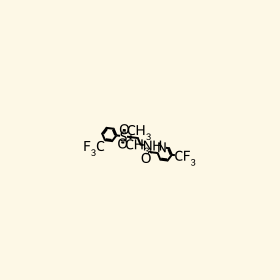 CC(C)(CCNC(=O)c1ccc(C(F)(F)F)cn1)S(=O)(=O)c1cccc(C(F)(F)F)c1